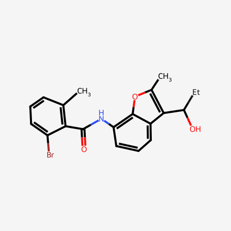 CCC(O)c1c(C)oc2c(NC(=O)c3c(C)cccc3Br)cccc12